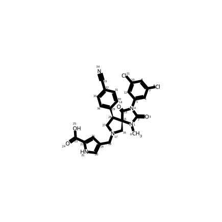 CN1C(=O)N(c2cc(Cl)cc(Cl)c2)C(=O)[C@]12CN(Cc1c[nH]c(C(=O)O)c1)C[C@H]2c1ccc(C#N)cc1